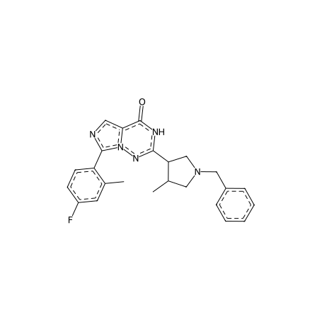 Cc1cc(F)ccc1-c1ncc2c(=O)[nH]c(C3CN(Cc4ccccc4)CC3C)nn12